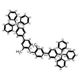 Cc1cc(-c2ccc([Si](c3ccccc3)(c3ccccc3)c3ccccc3)cc2)ccc1Sc1ccc(-c2ccc([Si](c3ccccc3)(c3ccccc3)c3ccccc3)cc2)cc1C